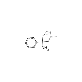 C=CCC(N)(CO)c1ccccc1